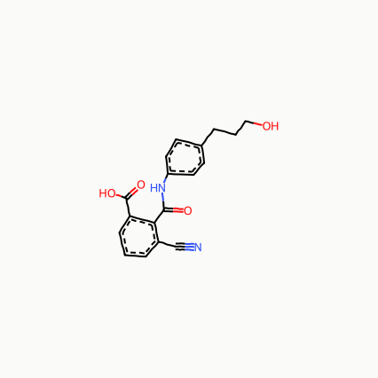 N#Cc1cccc(C(=O)O)c1C(=O)Nc1ccc(CCCO)cc1